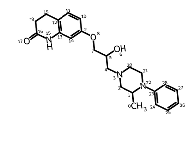 CC1CN(CC(O)COc2ccc3c(c2)NC(=O)CC3)CCN1c1ccccc1